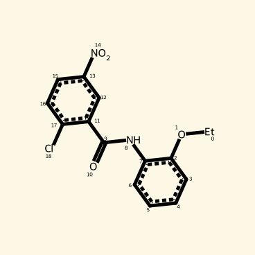 CCOc1ccccc1NC(=O)c1cc([N+](=O)[O-])ccc1Cl